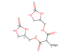 CCCCCCCC(C(=O)OCC1COC(=O)O1)C(=O)OCC1COC(=O)O1